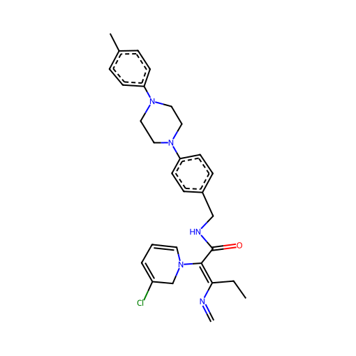 C=N/C(CC)=C(/C(=O)NCc1ccc(N2CCN(c3ccc(C)cc3)CC2)cc1)N1C=CC=C(Cl)C1